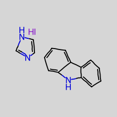 I.c1c[nH]cn1.c1ccc2c(c1)[nH]c1ccccc12